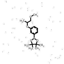 COCC(C)Oc1cccc(B2OC(C)(C)C(C)(C)O2)c1